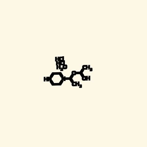 CC(O)OC(C)N1CCNCC1.Cl.Cl.O